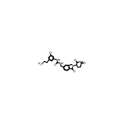 NCCc1cc(Cl)cc(NC(=O)NCc2ccc3c(c2)CN(C2CCC(=O)NC2=O)C3=O)c1